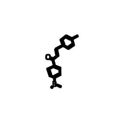 CB(C)c1ccc(C(=O)/C=C/c2ccc(C)cc2)cc1